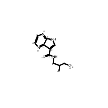 CC(CNC(=O)c1c[nH]c2nccnc12)CC(F)(F)F